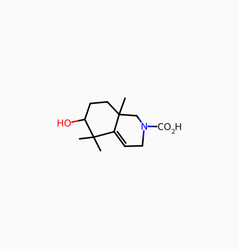 CC12CCC(O)C(C)(C)C1=CCN(C(=O)O)C2